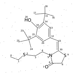 CCSCCN1C(=O)CSC1=Cc1cc(C(C)(C)C)c(O)c(C(C)(C)C)c1